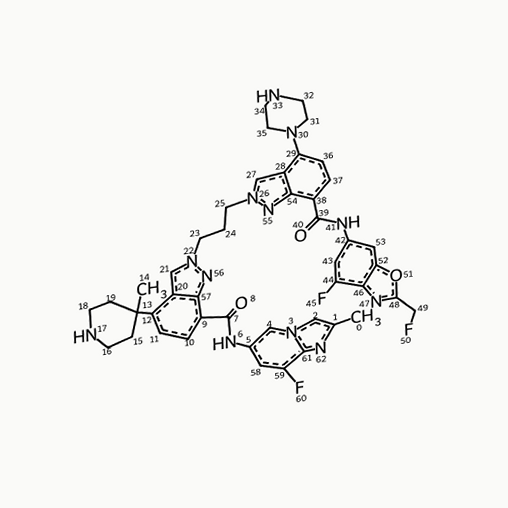 Cc1cn2cc(NC(=O)c3ccc(C4(C)CCNCC4)c4cn(CCCn5cc6c(N7CCNCC7)ccc(C(=O)Nc7cc(F)c8nc(CF)oc8c7)c6n5)nc34)cc(F)c2n1